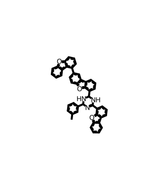 Cc1cccc(C2N=C(c3cccc4c3oc3ccccc34)NC(c3cccc4c3oc3ccc(-c5cccc6oc7ccccc7c56)cc34)N2)c1